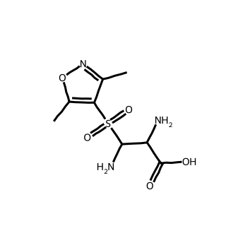 Cc1noc(C)c1S(=O)(=O)C(N)C(N)C(=O)O